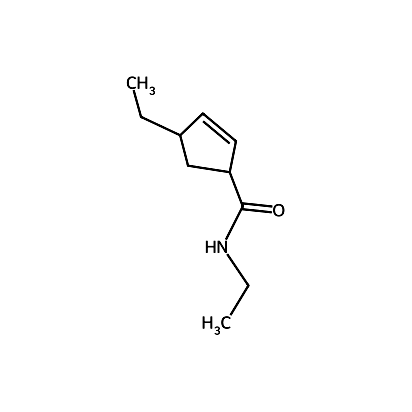 CCNC(=O)C1C=CC(CC)C1